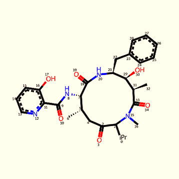 CC(C)C1C(=O)C[C@H](C)[C@H](NC(=O)c2ncccc2O)C(=O)N[C@@H](Cc2ccccc2)[C@@H](O)[C@@H](C)C(=O)N1C